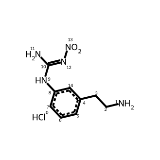 Cl.NCCc1cccc(NC(N)=N[N+](=O)[O-])c1